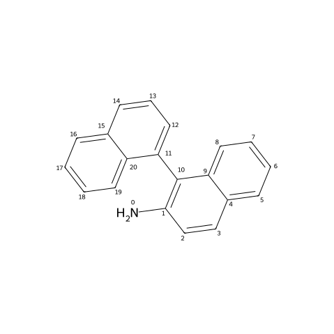 Nc1ccc2ccccc2c1-c1cccc2ccccc12